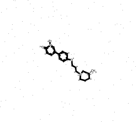 CCn1cc(-c2ccc(OCCCN3CCC[C@@H](C)C3)cc2)ccc1=O